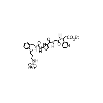 CCOC(=O)CC(NC(=O)CNC(=O)c1csc(NC(=O)NCc2ccccc2OCCCNC(=O)OC(C)(C)C)n1)c1cccnc1